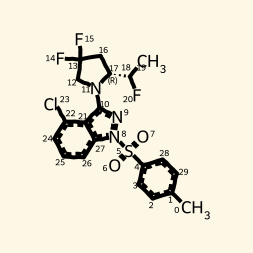 Cc1ccc(S(=O)(=O)n2nc(N3CC(F)(F)C[C@@H]3C(C)F)c3c(Cl)cccc32)cc1